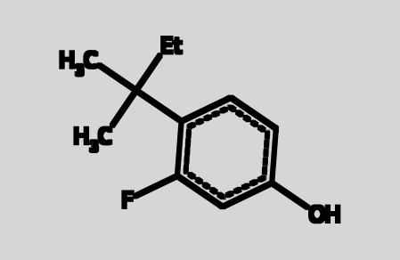 CCC(C)(C)c1ccc(O)cc1F